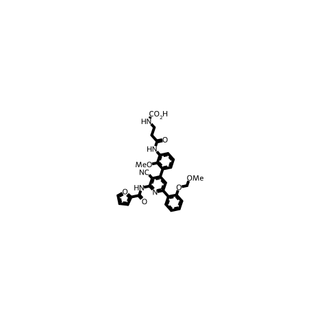 COCOc1ccccc1-c1cc(-c2cccc(NC(=O)CCNC(=O)O)c2OC)c(C#N)c(NC(=O)c2ccco2)n1